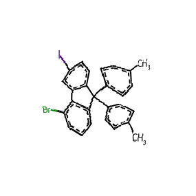 Cc1ccc(C2(c3ccc(C)cc3)c3ccc(I)cc3-c3c(Br)cccc32)cc1